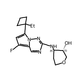 CCC1(c2cc(F)c3cnc(N[C@@H]4CCOC[C@H]4O)nn23)CCC1